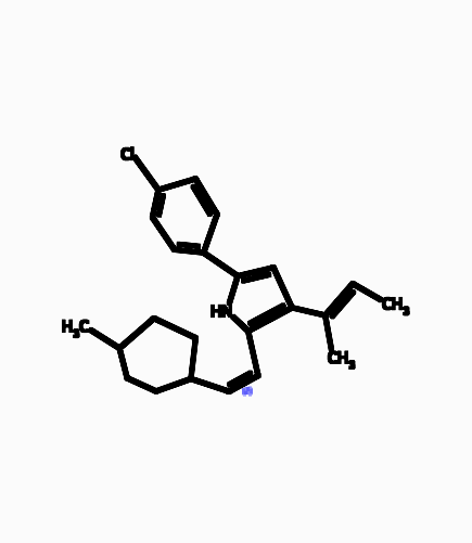 CC=C(C)c1cc(-c2ccc(Cl)cc2)[nH]c1/C=C\C1CCC(C)CC1